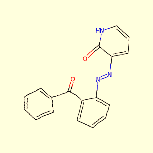 O=C(c1ccccc1)c1ccccc1N=Nc1ccc[nH]c1=O